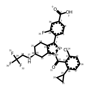 O=C(O)c1ccc(-c2nn(C(=O)c3c(Cl)cccc3C3CC3)c3c2CC[C@H](NCC(F)(F)F)C3)c(F)c1